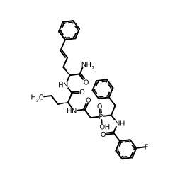 CCC[C@H](NC(=O)CP(=O)(O)C(Cc1ccccc1)NC(=O)c1cccc(F)c1)C(=O)N[C@@H](C/C=C/c1ccccc1)C(N)=O